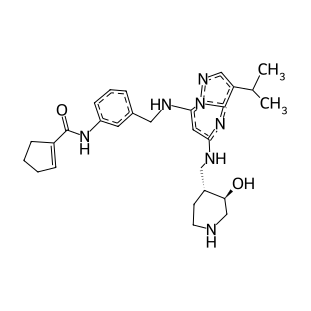 CC(C)c1cnn2c(NCc3cccc(NC(=O)C4=CCCC4)c3)cc(NC[C@H]3CCNC[C@@H]3O)nc12